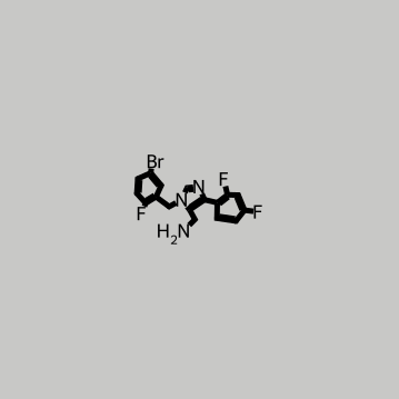 NCc1c(-c2ccc(F)cc2F)ncn1Cc1cc(Br)ccc1F